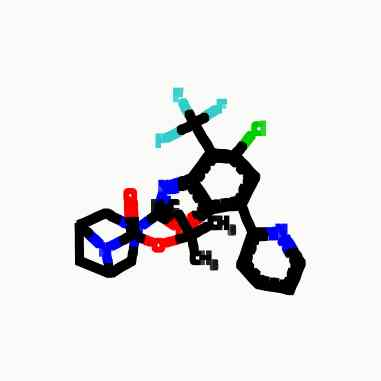 CC(C)(C)OC(=O)N1C2CC1CN(c1nc3c(C(F)(F)F)c(Cl)cc(-c4ccccn4)c3o1)C2